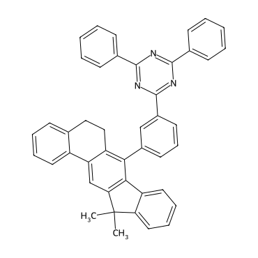 CC1(C)c2ccccc2-c2c1cc1c(c2-c2cccc(-c3nc(-c4ccccc4)nc(-c4ccccc4)n3)c2)CCc2ccccc2-1